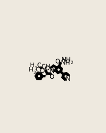 CC(C)(C)OC(=O)[C@@H](Cc1ccccc1)C(=O)N1CCc2c(C(=O)NN)cc(-c3ccncc3)cc21